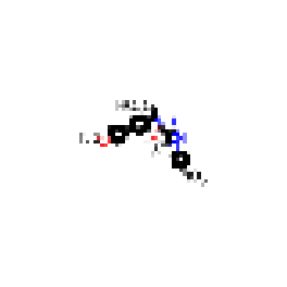 O=C(O)CC(NC(=O)c1cnn(-c2ccc([N+](=O)[O-])cc2)c1C(F)(F)F)c1ccc(-c2ccc(OC(F)(F)F)cc2)cc1